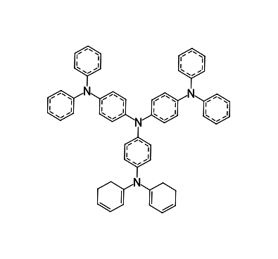 C1=CCCC(N(C2=CC=CCC2)c2ccc(N(c3ccc(N(c4ccccc4)c4ccccc4)cc3)c3ccc(N(c4ccccc4)c4ccccc4)cc3)cc2)=C1